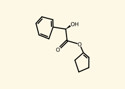 O=C(OC1=CCCC1)[C@H](O)c1ccccc1